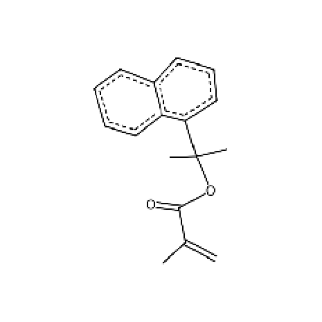 C=C(C)C(=O)OC(C)(C)c1cccc2ccccc12